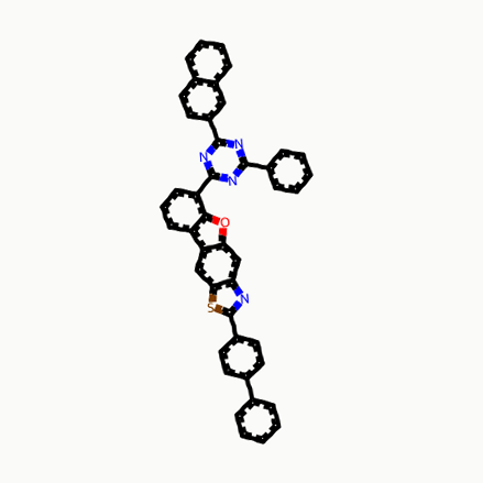 c1ccc(-c2ccc(-c3nc4cc5oc6c(-c7nc(-c8ccccc8)nc(-c8ccc9ccccc9c8)n7)cccc6c5cc4s3)cc2)cc1